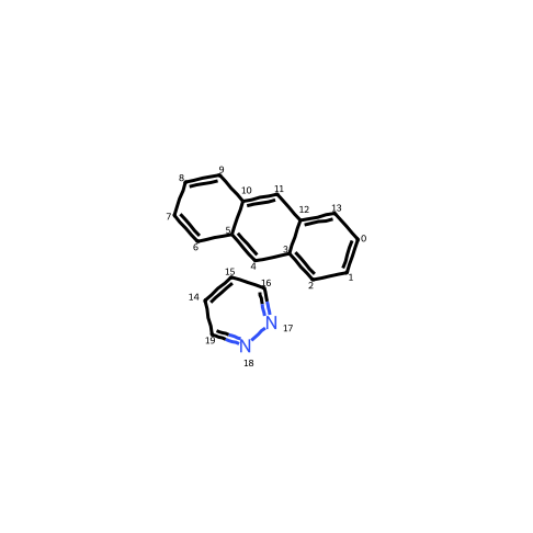 c1ccc2cc3ccccc3cc2c1.c1ccnnc1